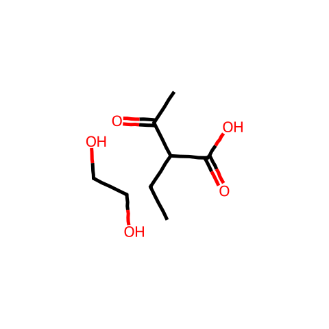 CCC(C(C)=O)C(=O)O.OCCO